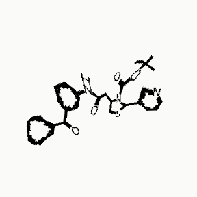 CC(C)(C)OC(=O)N1C(CC(=O)Nc2cccc(C(=O)c3ccccc3)c2)CSC1c1cccnc1